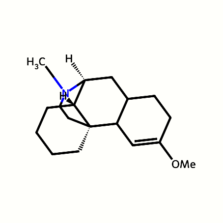 COC1=CC2C(CC1)C[C@H]1[C@H]3CCCC[C@@]23CCN1C